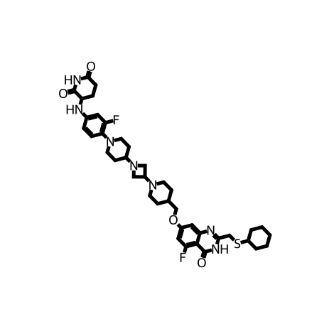 O=C1CCC(Nc2ccc(N3CCC(N4CC(N5CCC(COc6cc(F)c7c(=O)[nH]c(CSC8CCCCC8)nc7c6)CC5)C4)CC3)c(F)c2)C(=O)N1